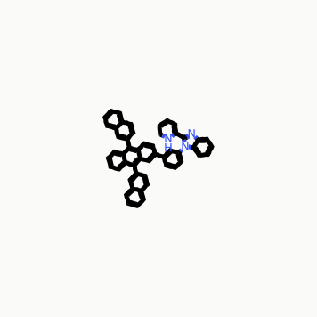 C1=CCNC(c2nc3ccccc3n2-c2cccc(-c3ccc4c(-c5ccc6ccccc6c5)c5ccccc5c(-c5ccc6ccccc6c5)c4c3)c2)=C1